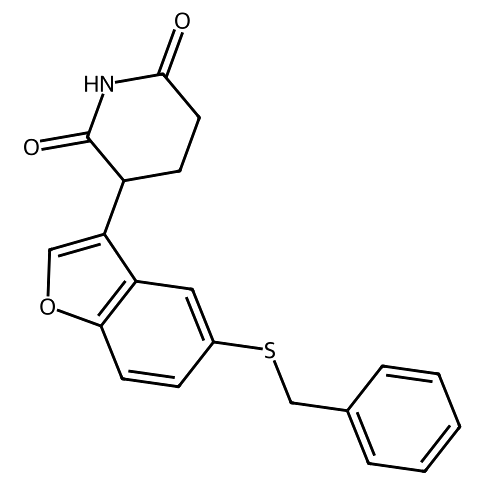 O=C1CCC(c2coc3ccc(SCc4ccccc4)cc23)C(=O)N1